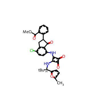 COC(=O)c1ccccc1C1Cc2c(Cl)ccc(Nc3c(N[C@@H](c4ccc(C)o4)C(C)(C)C)c(=O)c3=O)c2C1=O